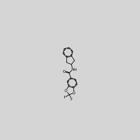 O=C(NC1Cc2ccccc2C1)c1ccc2c(c1)OC(F)(F)O2